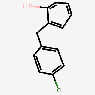 Bc1ccccc1Cc1ccc(Cl)cc1